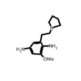 COc1cc(N)cc(CCN2CCCC2)c1N